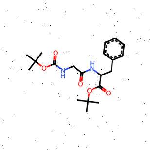 CC(C)(C)OC(=O)NCC(=O)NC(Cc1ccccc1)C(=O)OC(C)(C)C